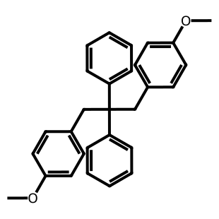 COc1ccc(CC(Cc2ccc(OC)cc2)(c2ccccc2)c2ccccc2)cc1